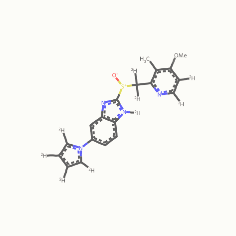 [2H]c1nc(C([2H])([2H])[S+]([O-])c2nc3cc(-n4c([2H])c([2H])c([2H])c4[2H])ccc3n2[2H])c(C)c(OC)c1[2H]